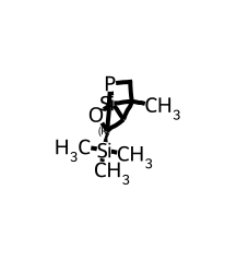 CC12CP3[C@@]4([Si](C)(C)C)O[Si]31C24